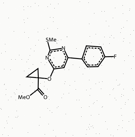 COC(=O)C1(Oc2cc(-c3ccc(F)cc3)nc(SC)n2)CC1